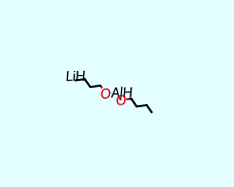 CCCC[O][AlH][O]CCCC.[LiH]